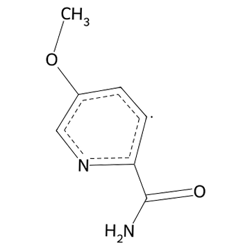 COc1c[c]c(C(N)=O)nc1